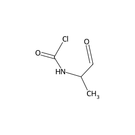 CC(C=O)NC(=O)Cl